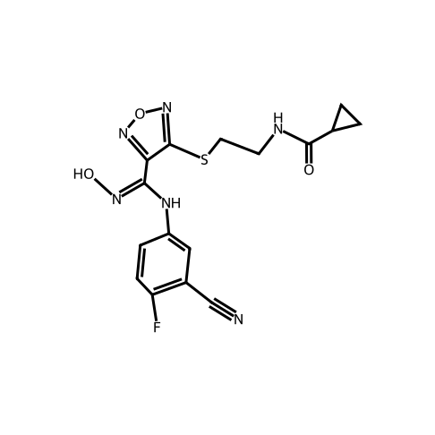 N#Cc1cc(N/C(=N/O)c2nonc2SCCNC(=O)C2CC2)ccc1F